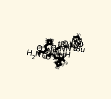 CC(C)(C)[C@H](NC(=O)N[C@H](CN1CCCS1(=O)=O)C(C)(C)C)C(=O)N1C[C@]2(C[C@H]1C(=O)NC(CC1CCC1)C(=O)C(N)=O)C(C)(C)C21CCC1